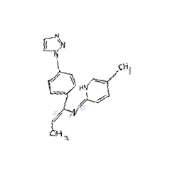 C/C=C(\N=c1\ccc(C)c[nH]1)c1ccc(-n2ccnn2)cc1